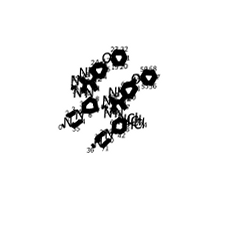 CN1CCN([C@H]2CCC[C@H](n3cc(-c4ccc(Oc5ccccc5)cc4)c4c(N)ncnc43)C2)CC1.CN1CCN([C@H]2CCC[C@H](n3cc(-c4ccc(Oc5ccccc5)cc4)c4c(N)ncnc43)C2)CC1.Cl.Cl.Cl